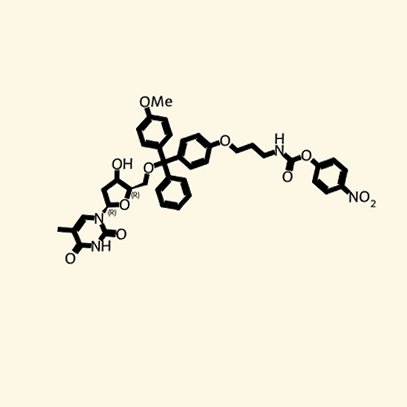 COc1ccc(C(OC[C@H]2O[C@@H](n3cc(C)c(=O)[nH]c3=O)CC2O)(c2ccccc2)c2ccc(OCCCNC(=O)Oc3ccc([N+](=O)[O-])cc3)cc2)cc1